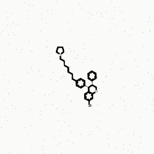 Oc1ccc2c(c1)OC[C@@H](c1ccccc1)[C@H]2c1ccc(CCCCCCCN2CCCC2)cc1